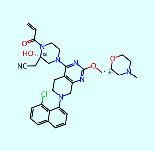 C=CC(=O)N1CCN(c2nc(OC[C@H]3CN(C)CCO3)nc3c2CCN(c2cccc4cccc(Cl)c24)C3)C[C@@]1(O)CC#N